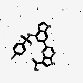 CC(C)(C)C(=O)c1c[nH]c2ncc(-c3cc(NS(=O)(=O)c4ccc(F)cc4)c4cc[nH]c4c3)nc12